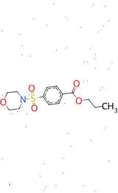 CCCOC(=O)c1ccc(S(=O)(=O)N2CCOCC2)cc1